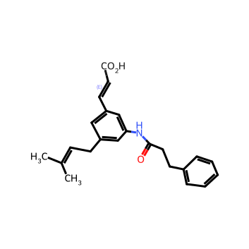 CC(C)=CCc1cc(/C=C/C(=O)O)cc(NC(=O)CCc2ccccc2)c1